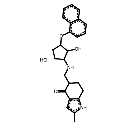 Cc1cc2c([nH]1)CCC(CNC1CCC(Oc3cccc4ccccc34)C1O)C2=O.Cl